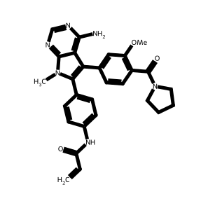 C=CC(=O)Nc1ccc(-c2c(-c3ccc(C(=O)N4CCCC4)c(OC)c3)c3c(N)ncnc3n2C)cc1